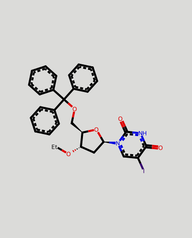 CCO[C@H]1C[C@H](n2cc(I)c(=O)[nH]c2=O)O[C@@H]1COC(c1ccccc1)(c1ccccc1)c1ccccc1